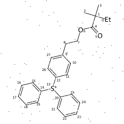 CCC(C)(C)C(=O)OCCc1ccc([S+](c2ccccc2)c2ccccc2)cc1